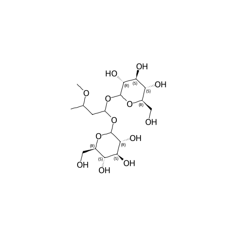 COC(C)CC(OC1O[C@H](CO)[C@@H](O)[C@H](O)[C@H]1O)OC1O[C@H](CO)[C@@H](O)[C@H](O)[C@H]1O